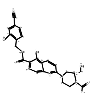 CC(=O)N1CCN(c2ccc3c(O)c(C(=O)NCc4ccc(C#N)cc4Cl)ncc3n2)C[C@@H]1CO